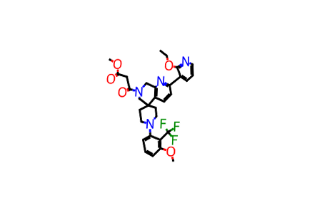 CCOc1ncccc1-c1ccc2c(n1)CN(C(=O)CC(=O)OC)CC21CCN(c2cccc(OC)c2C(F)(F)F)CC1